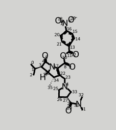 CC(C)[C@H]1C(=O)N2C(C(=O)OC(=O)c3ccc([N+](=O)[O-])cc3)=C(CN3CC[C@H](C(=O)N(C)C)C3)[C@H](C)[C@H]12